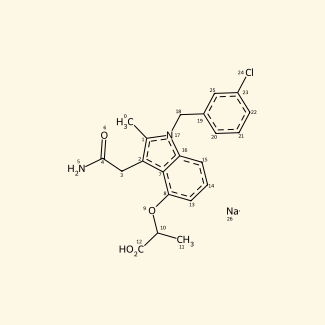 Cc1c(CC(N)=O)c2c(OC(C)C(=O)O)cccc2n1Cc1cccc(Cl)c1.[Na]